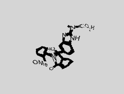 COc1ccccc1N1C(=O)c2ccccc2C1(O)c1ccc2[nH]c(N(C)C(=O)O)nc2c1